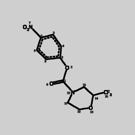 O=C(Oc1ccc([N+](=O)[O-])cc1)N1CCOC(C(F)(F)F)C1